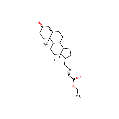 CCOC(=O)/C=C/CC1CCC2C3CCC4=CC(=O)CCC4(C)C3CCC12C